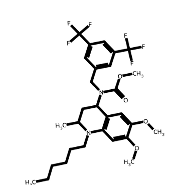 CCCCCCN1c2cc(OC)c(OC)cc2C(N(Cc2cc(C(F)(F)F)cc(C(F)(F)F)c2)C(=O)OC)CC1C